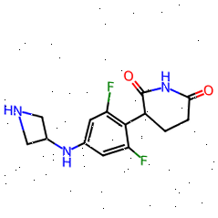 O=C1CCC(c2c(F)cc(NC3CNC3)cc2F)C(=O)N1